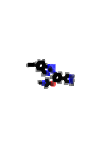 C#Cc1ccc2nc(Nc3cc(OC4CN(C)C4)cc(C4C=NN(C)C4)c3)ncc2c1